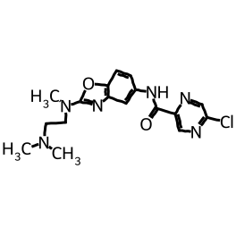 CN(C)CCN(C)c1nc2cc(NC(=O)c3cnc(Cl)cn3)ccc2o1